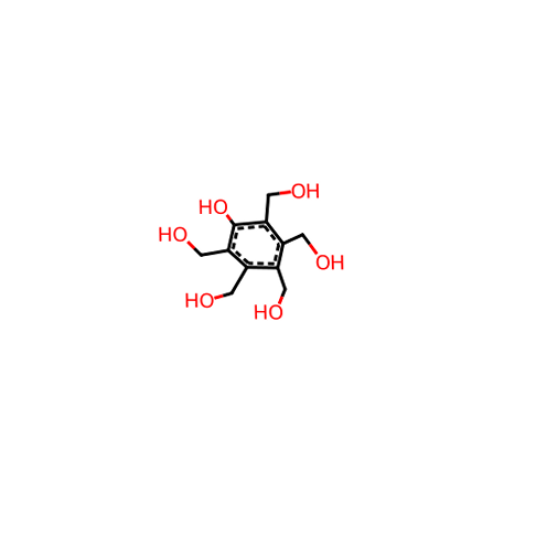 OCc1c(O)c(CO)c(CO)c(CO)c1CO